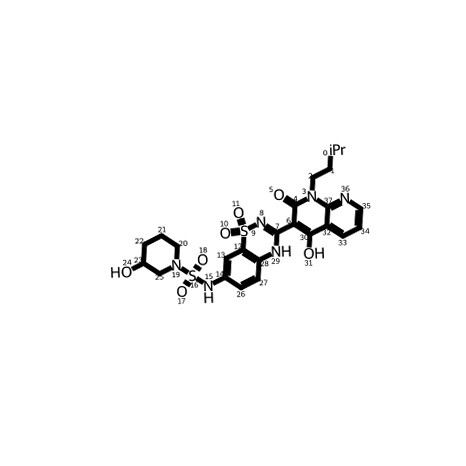 CC(C)CCn1c(=O)c(C2=NS(=O)(=O)c3cc(NS(=O)(=O)N4CCCC(O)C4)ccc3N2)c(O)c2cccnc21